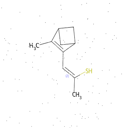 CC1=C(/C=C(/C)S)C2CC1C2